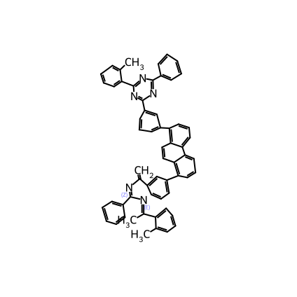 C=C(/N=C(\N=C(/C)c1ccccc1C)c1ccccc1)c1cccc(-c2cccc3c2ccc2c(-c4cccc(-c5nc(-c6ccccc6)nc(-c6ccccc6C)n5)c4)cccc23)c1